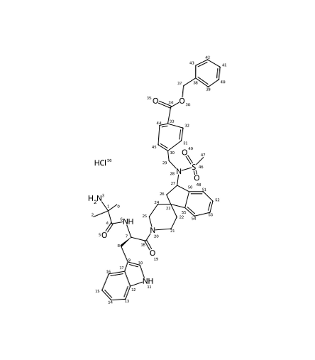 CC(C)(N)C(=O)N[C@H](Cc1c[nH]c2ccccc12)C(=O)N1CCC2(CC1)CC(N(Cc1ccc(C(=O)OCc3ccccc3)cc1)S(C)(=O)=O)c1ccccc12.Cl